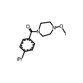 CC(C)c1ccc(C(=O)N2CCN(OI)CC2)cc1